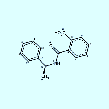 C[C@H](NC(=O)c1ccccc1C(=O)O)c1ccccc1